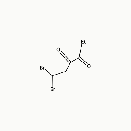 CCC(=O)C(=O)CC(Br)Br